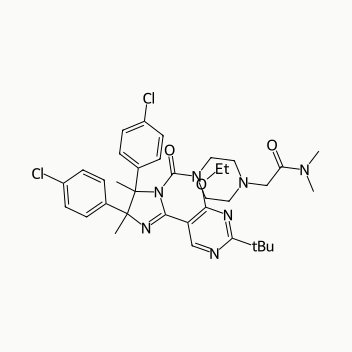 CCOc1nc(C(C)(C)C)ncc1C1=NC(C)(c2ccc(Cl)cc2)C(C)(c2ccc(Cl)cc2)N1C(=O)N1CCN(CC(=O)N(C)C)CC1